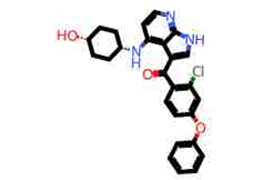 O=C(c1ccc(Oc2ccccc2)cc1Cl)c1c[nH]c2nccc(N[C@H]3CC[C@@H](O)CC3)c12